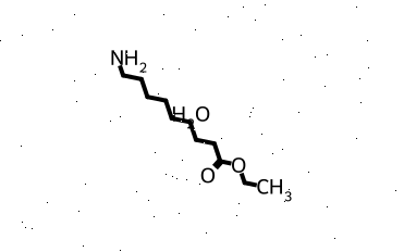 CCOC(=O)CCCCCCCCN.O